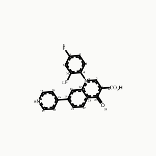 O=C(O)c1cn(-c2ccc(F)cc2F)c2cc(-c3ccncc3)ccc2c1=O